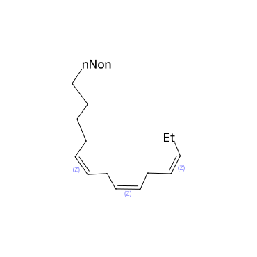 CC/C=C\C/C=C\C/C=C\CCCCCCCCCCCCC